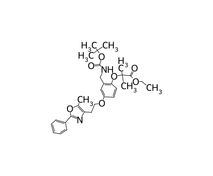 CCOC(=O)C(C)(C)Oc1ccc(OCCc2nc(-c3ccccc3)oc2C)cc1CNC(=O)OC(C)(C)C